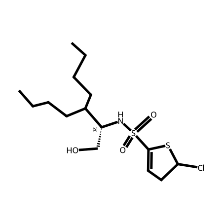 CCCCC(CCCC)[C@@H](CO)NS(=O)(=O)C1=CCC(Cl)S1